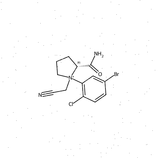 N#CC[N+]1(c2cc(Br)ccc2Cl)CCC[C@@H]1C(N)=O